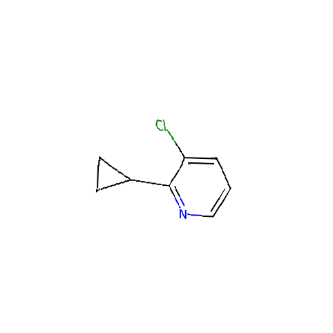 Clc1cccnc1C1CC1